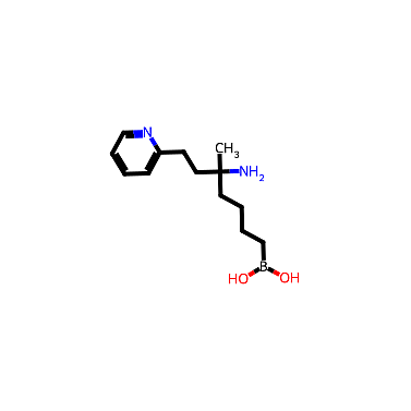 CC(N)(CCCCB(O)O)CCc1ccccn1